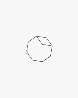 C1CSCC2CC(C1)C2